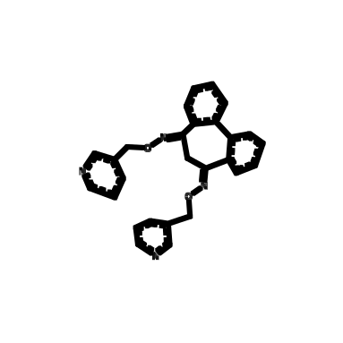 c1cncc(CON=C2CC(=NOCc3cccnc3)c3ccccc3-c3ccccc32)c1